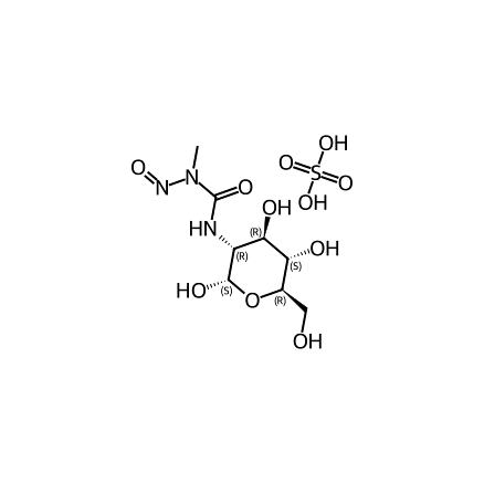 CN(N=O)C(=O)N[C@@H]1[C@@H](O)[C@H](O)[C@@H](CO)O[C@@H]1O.O=S(=O)(O)O